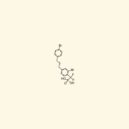 O=P(O)(O)C(F)(F)c1ccc(CSCc2ccc(Br)cc2)cc1Br